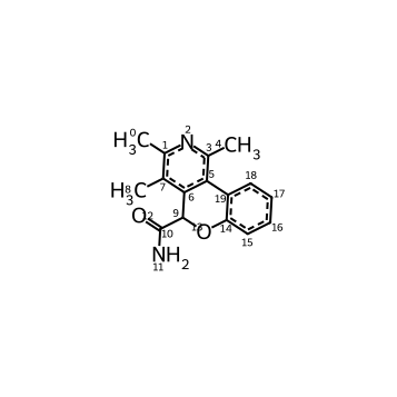 Cc1nc(C)c2c(c1C)C(C(N)=O)Oc1ccccc1-2